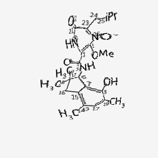 COc1c(C(=O)NC2c3c(O)c(C)cc(C)c3CC2(C)C)[nH]c(=O)c(CC(C)C)[n+]1[O-]